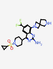 Nc1nc(C2CCN(S(=O)(=O)C3CC3)CC2)c2cc(C(F)F)cc(N3CC4(CCNC4)C3)c2n1